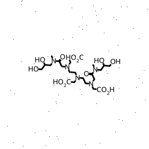 CN(CC(O)CO)C(=O)CN(CCN(CCN(CC(=O)O)CC(=O)N(C)CC(O)CO)CC(=O)O)CC(=O)O